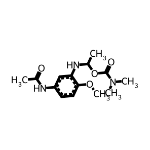 COc1ccc(NC(C)=O)cc1NC(C)OC(=O)N(C)C